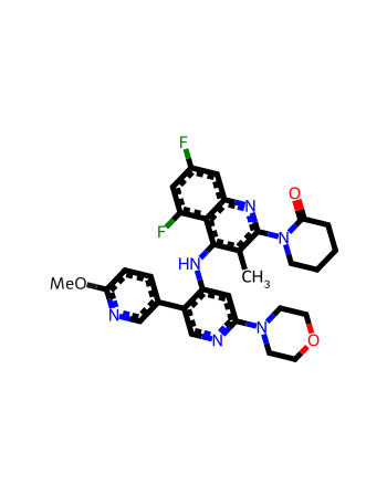 COc1ccc(-c2cnc(N3CCOCC3)cc2Nc2c(C)c(N3CCCCC3=O)nc3cc(F)cc(F)c23)cn1